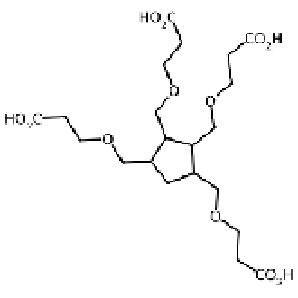 O=C(O)CCOCC1CC(COCCC(=O)O)C(COCCC(=O)O)C1COCCC(=O)O